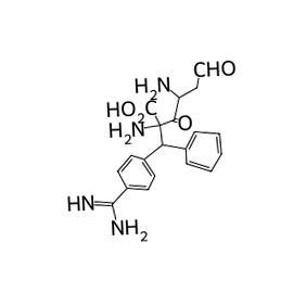 N=C(N)c1ccc(C(c2ccccc2)C(N)(C(=O)O)C(=O)C(N)CC=O)cc1